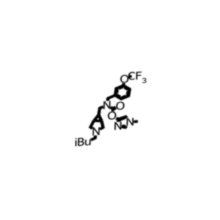 CCC(C)CN1CC2C(C1)C2CN(Cc1cccc(OC(F)(F)F)c1)C(=O)Oc1cn(C)cn1